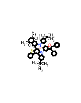 CC(C)(C)c1ccc(N2B3c4cc5oc(-c6ccccc6)c(-c6ccccc6)c5cc4-n4c5ccc(C(C)(C)C)cc5c5c6c(sc7ccccc76)c(c3c54)-c3cc4c(cc32)C(C)(C)CCC4(C)C)cc1